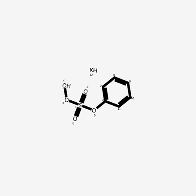 O=S(=O)(OO)Oc1ccccc1.[KH]